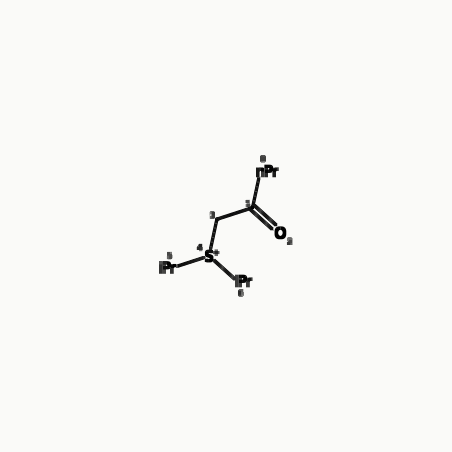 CCCC(=O)C[S+](C(C)C)C(C)C